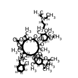 CC[C@H]1OC(=O)[C@H](C)[C@@H](O[C@H]2C[C@@](C)(OC)[C@@H](OCCCN(CC)CC)[C@H](C)O2)[C@H](C)[C@@H](O[C@@H]2O[C@H](C)C[C@H](N(C)C)[C@H]2OC(C)=O)[C@](C)(OC)C[C@@H](C)/C(=N\OCc2ccccc2Cl)[C@H](C)[C@H]2OC(=O)O[C@@]21C